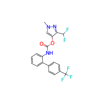 Cn1cc(OC(=O)Nc2ccccc2-c2ccc(C(F)(F)F)cc2)c(C(F)F)n1